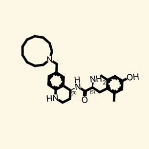 Cc1cc(O)cc(C)c1C[C@H](N)C(=O)N[C@@H]1CCNc2ccc(CN3CCCCCCCCCC3)cc21